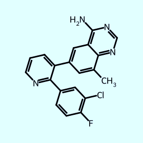 Cc1cc(-c2cccnc2-c2ccc(F)c(Cl)c2)cc2c(N)ncnc12